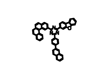 c1ccc2cc(-c3ccc(-c4nc(-c5ccc6c(c5)oc5ccccc56)nc(-c5ccc6ccc7ccc8ccccc8c7c6c5)n4)cc3)ccc2c1